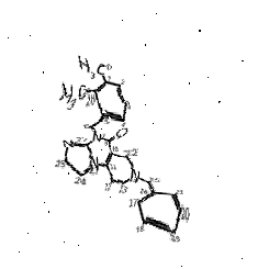 Cc1cccc(CN2C(=O)C3=C(CCN(Cc4ccccc4)C3)N3CCN=C23)c1C